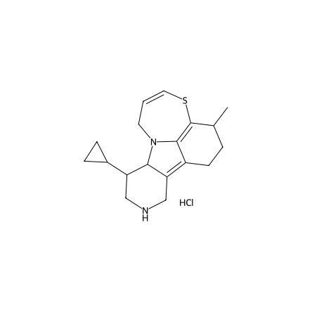 CC1CCC2=C3CNCC(C4CC4)C3N3CC=CSC1=C23.Cl